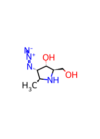 C[C@@H]1N[C@H](CO)[C@@H](O)[C@H]1N=[N+]=[N-]